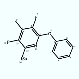 Cc1c(F)c(Oc2ccccc2)nc(C(C)(C)C)c1F